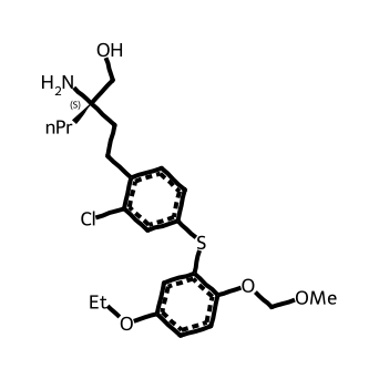 CCC[C@@](N)(CO)CCc1ccc(Sc2cc(OCC)ccc2OCOC)cc1Cl